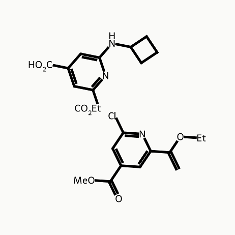 C=C(OCC)c1cc(C(=O)OC)cc(Cl)n1.CCOC(=O)c1cc(C(=O)O)cc(NC2CCC2)n1